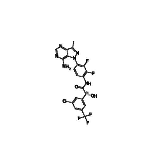 Cc1nn(-c2ccc(NC(=O)[C@H](O)c3cc(Cl)cc(C(F)(F)F)c3)c(F)c2F)c2c(N)ncnc12